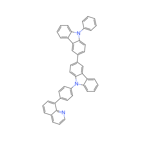 c1ccc(-n2c3ccccc3c3cc(-c4ccc5c(c4)c4ccccc4n5-c4ccc(-c5cccc6cccnc56)cc4)ccc32)cc1